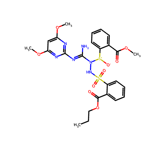 CCCOC(=O)c1ccccc1S(=O)(=O)NN(C(N)=Nc1nc(OC)cc(OC)n1)[S+]([O-])c1ccccc1C(=O)OC